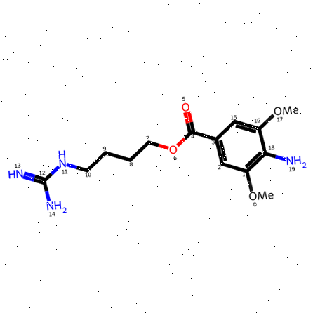 COc1cc(C(=O)OCCCCNC(=N)N)cc(OC)c1N